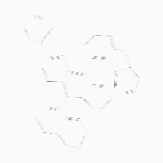 c1ccc(-c2ccc3c(-c4cccc5ccccc45)c4ccccc4c(-c4cccc5oc6ccccc6c45)c3c2)cc1